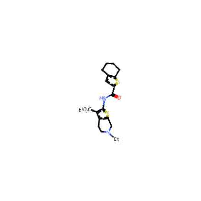 CCOC(=O)c1c(NC(=O)c2cc3c(s2)CCCC3)sc2c1CCN(CC)C2